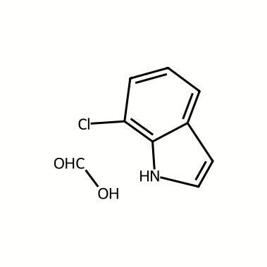 Clc1cccc2cc[nH]c12.O=CO